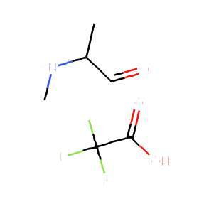 CNC(C)C=O.O=C(O)C(F)(F)F